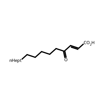 CCCCCCCCCCCCC(=O)C=CC(=O)O